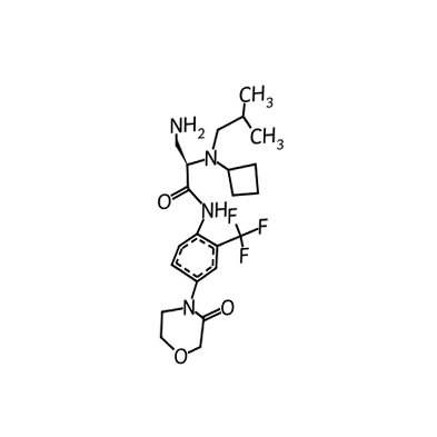 CC(C)CN(C1CCC1)[C@H](CN)C(=O)Nc1ccc(N2CCOCC2=O)cc1C(F)(F)F